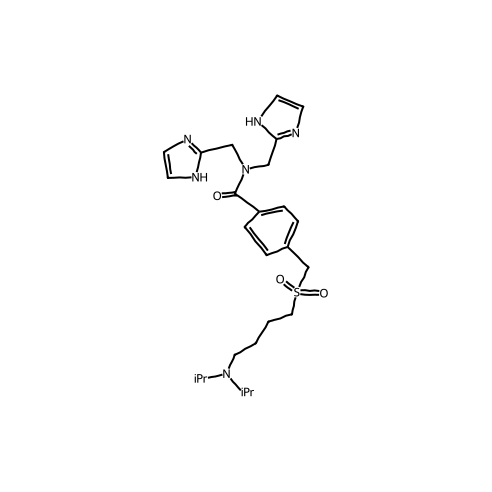 CC(C)N(CCCCS(=O)(=O)Cc1ccc(C(=O)N(Cc2ncc[nH]2)Cc2ncc[nH]2)cc1)C(C)C